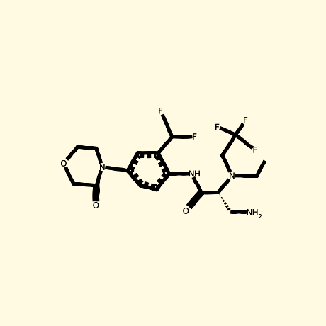 CCN(CC(F)(F)F)[C@H](CN)C(=O)Nc1ccc(N2CCOCC2=O)cc1C(F)F